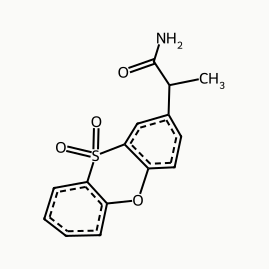 CC(C(N)=O)c1ccc2c(c1)S(=O)(=O)c1ccccc1O2